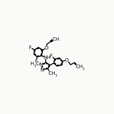 C#CCOc1cc(F)cc(F)c1Nc1c(-c2ccc(OCC=C)cc2F)c(C)nn1C